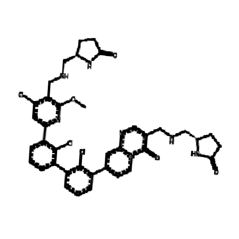 COc1nc(-c2cccc(-c3cccc(-c4ccn5c(=O)c(CNC[C@@H]6CCC(=O)N6)cnc5c4)c3Cl)c2Cl)cc(Cl)c1CNC[C@H]1CCC(=O)N1